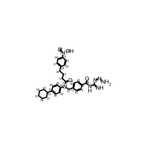 N=C(/N=N\N)NC(=O)c1ccc(CN(C(=O)CCCc2ccc([N+](=O)O)cc2)c2ccc(C3CCCCC3)cc2)cc1